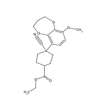 CCOC(=O)C1CCC(C#N)(c2ccc(OC)c3c2OCCCO3)CC1